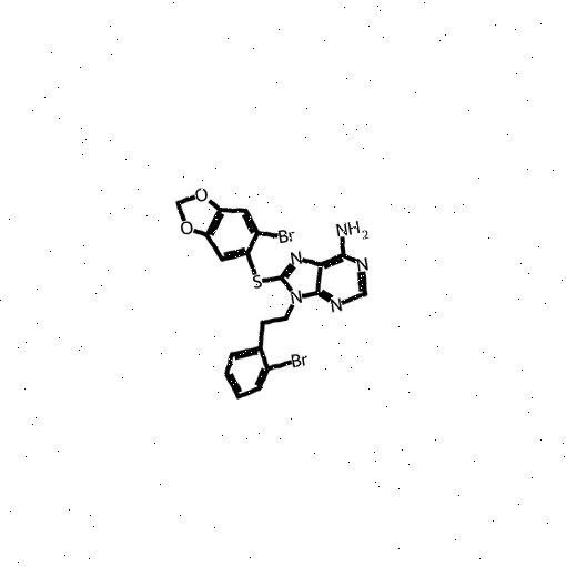 Nc1ncnc2c1nc(Sc1cc3c(cc1Br)OCO3)n2CCc1ccccc1Br